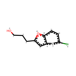 OCCCc1cc2cc(Br)ccc2o1